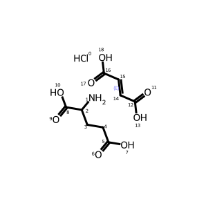 Cl.NC(CCC(=O)O)C(=O)O.O=C(O)/C=C/C(=O)O